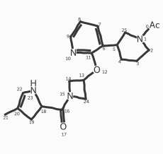 CC(=O)N1CCCC(c2cccnc2OC2CN(C(=O)C3CC(C)=CN3)C2)C1